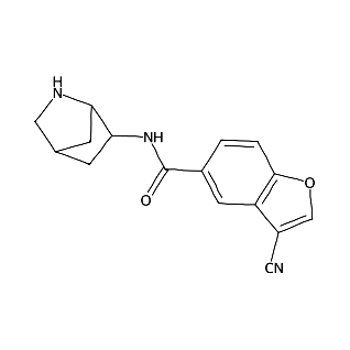 N#Cc1coc2ccc(C(=O)NC3CC4CNC3C4)cc12